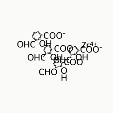 O=Cc1cccc(C(=O)[O-])c1O.O=Cc1cccc(C(=O)[O-])c1O.O=Cc1cccc(C(=O)[O-])c1O.O=Cc1cccc(C(=O)[O-])c1O.[Zr+4]